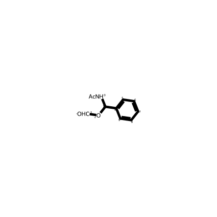 CC(=O)NC(O[C]=O)c1ccccc1